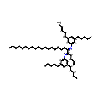 CCCCCCCCCCCCCCCCCCC(=N\c1cc(CCCCC)cc(CCCCC)c1)/C(CCCC)=N/c1cc(CCCCC)cc(CCCCC)c1.[Ni]